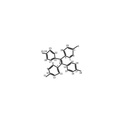 Cc1ccc(C(=C(c2ccc(C)cc2)c2ccc(C)cc2)c2ccc(C)cc2)cc1